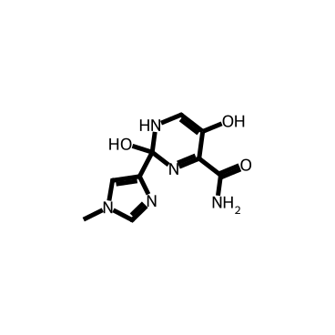 Cn1cnc(C2(O)N=C(C(N)=O)C(O)=CN2)c1